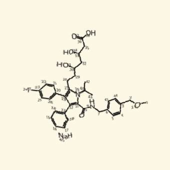 COCc1ccc(CNC(=O)c2c(-c3ccccc3)c(-c3ccc(F)cc3)c(CC[C@@H](O)C[C@@H](O)CC(=O)O)n2C(C)C)cc1.[NaH]